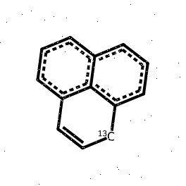 C1=Cc2cccc3cccc(c23)[13CH2]1